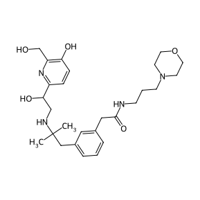 CC(C)(Cc1cccc(CC(=O)NCCCN2CCOCC2)c1)NCC(O)c1ccc(O)c(CO)n1